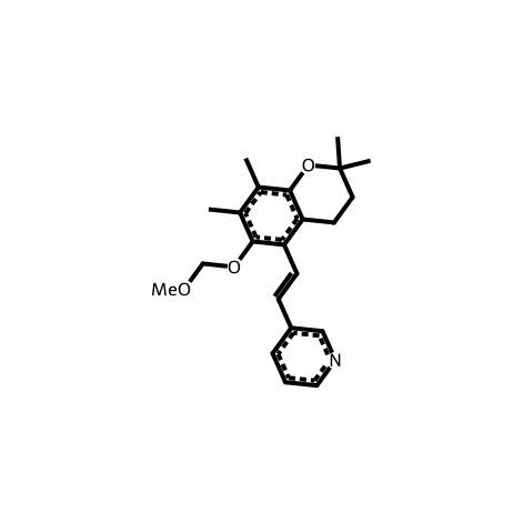 COCOc1c(C)c(C)c2c(c1C=Cc1cccnc1)CCC(C)(C)O2